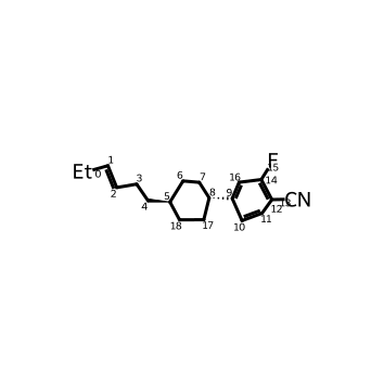 CC/C=C/CC[C@H]1CC[C@H](c2ccc(C#N)c(F)c2)CC1